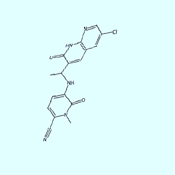 CC(Nc1ccc(C#N)n(C)c1=O)c1cc2cc(Cl)cnc2[nH]c1=O